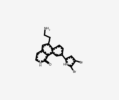 NCCc1cc2cc[nH]c(=O)c2c2cc(-c3cc(Br)c(Br)[nH]3)ccc12